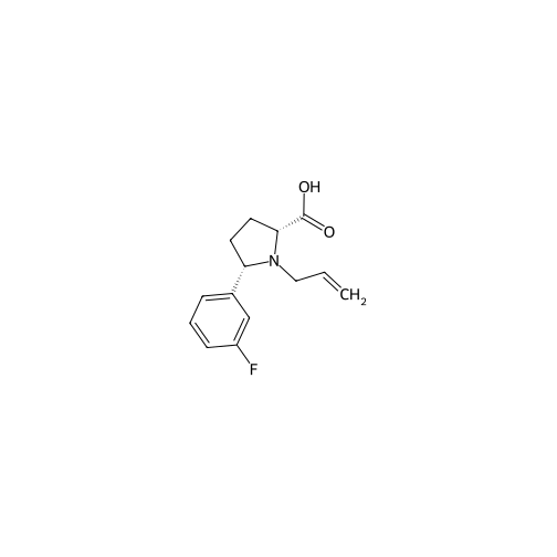 C=CCN1[C@@H](C(=O)O)CC[C@H]1c1cccc(F)c1